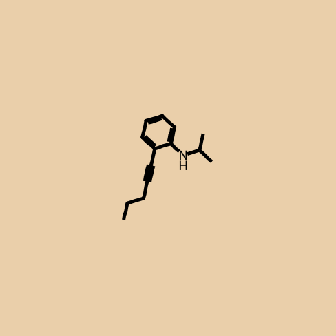 CCCC#Cc1ccccc1NC(C)C